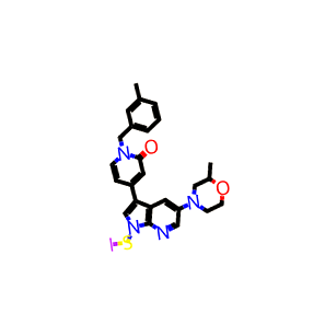 Cc1cccc(Cn2ccc(-c3cn(SI)c4ncc(N5CCOC(C)C5)cc34)cc2=O)c1